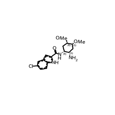 CO[C@H]1C[C@H](N)[C@H](NC(=O)c2cc3cc(Cl)ccc3[nH]2)C[C@H]1OC